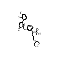 O=C(O)N(CCCN1CCOCC1)c1cccc(Cn2nc(-c3cccc(F)c3F)ccc2=O)c1